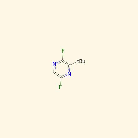 CC(C)(C)c1nc(F)cnc1F